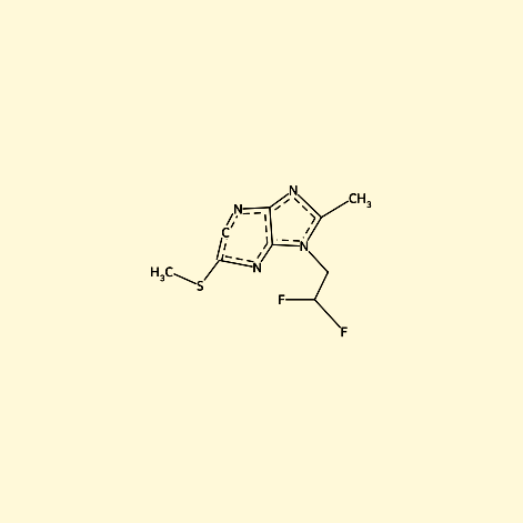 CSc1cnc2nc(C)n(CC(F)F)c2n1